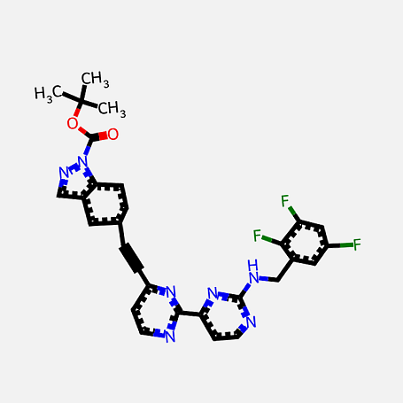 CC(C)(C)OC(=O)n1ncc2cc(C#Cc3ccnc(-c4ccnc(NCc5cc(F)cc(F)c5F)n4)n3)ccc21